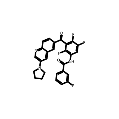 O=C(Nc1cc(F)c(F)c(C(=O)c2ccc3ncc(N4CCCC4)cc3c2)c1F)c1cccc(F)c1